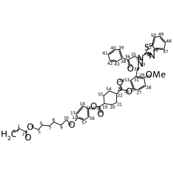 C=CC(=O)OCCCCCCOc1ccc(OC(=O)C2CCC(C(=O)Oc3ccc(OC)c(/C=N/N(CC(=O)c4ccccc4)c4nc5ccccc5s4)c3)CC2)cc1